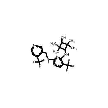 CC1(C)C(O)C(C)(C)C1Nc1nc(NCc2cnccc2C(F)(F)F)ncc1C(F)(F)F